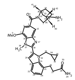 COc1cc(C(=O)N2C[C@H]3CC[C@@H]2C[C@@H]3N)cc2nc(-c3cc4cccc(CCC(N)=O)c4n3CC3CC3)n(C)c12